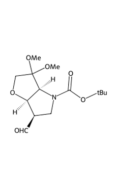 COC1(OC)CO[C@@H]2[C@H](C=O)CN(C(=O)OC(C)(C)C)[C@@H]21